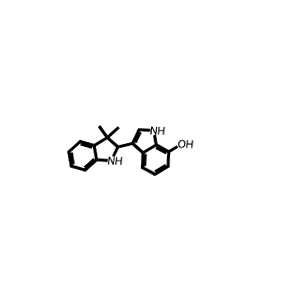 CC1(C)c2ccccc2NC1c1c[nH]c2c(O)cccc12